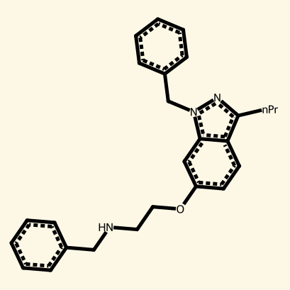 CCCc1nn(Cc2ccccc2)c2cc(OCCNCc3ccccc3)ccc12